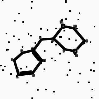 C1=CCCC(CC2COCCO2)=C1